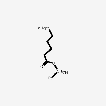 CCCCCCCCCCCC(=O)O[SH](C#N)CC